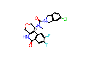 CN(C(=O)N1Cc2ccc(Cl)cc2C1)[C@@H]1COCc2[nH]c(=O)c3cc(F)c(F)cc3c21